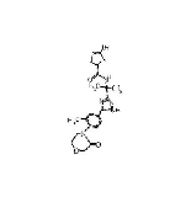 Cc1cc(-c2nc(C(C)(C)NC(=O)C3CC=C(Br)S3)n[nH]2)ccc1N1CCOCC1=O